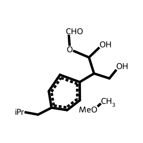 CC(C)Cc1ccc(C(CO)C(O)OC=O)cc1.COC